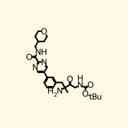 CC(C)(C)OC(=O)NCC(=O)C(C)(N)Cc1cccc(-c2cnc(C(=O)NCC3CCOCC3)nc2)c1